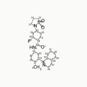 Cc1ccc(NC(=O)c2ccc(N3CCCS3(=O)=O)cc2F)cc1-c1nccc2ccccc12